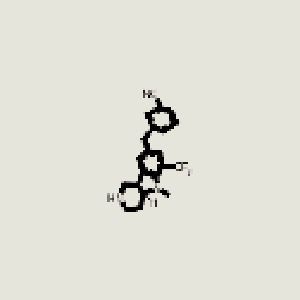 CN1c2c(cc(Cc3cccc(C#N)c3)cc2C(F)(F)F)C2CNCC[C@@H]21